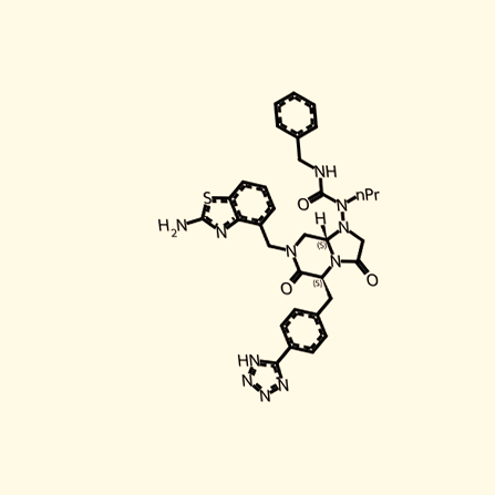 CCCN(C(=O)NCc1ccccc1)N1CC(=O)N2[C@@H](Cc3ccc(-c4nnn[nH]4)cc3)C(=O)N(Cc3cccc4sc(N)nc34)C[C@@H]21